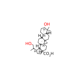 CC(CO)[C@@H]1CC[C@]2(C(=O)O)CC[C@]3(C)[C@H](CC[C@@H]4[C@@]5(C)CC[C@H](O)C(C)(C)[C@@H]5CC[C@]43C)[C@@H]12